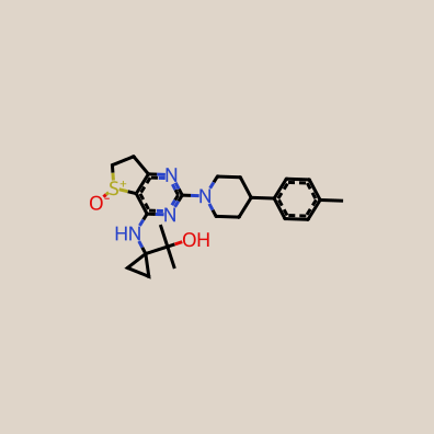 Cc1ccc(C2CCN(c3nc4c(c(NC5(C(C)(C)O)CC5)n3)[S+]([O-])CC4)CC2)cc1